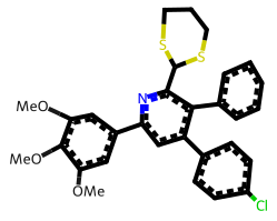 COc1cc(-c2cc(-c3ccc(Cl)cc3)c(-c3ccccc3)c(C3SCCCS3)n2)cc(OC)c1OC